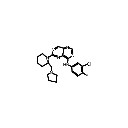 Fc1ccc(Nc2ncnc3cnc(N4CCCCC4CN4CCCC4)nc23)cc1Cl